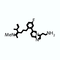 C=CC(C)/C(CCCc1ccc(F)cc1-c1ccc2ncc(CCN)n2c1)=C(/C)NC